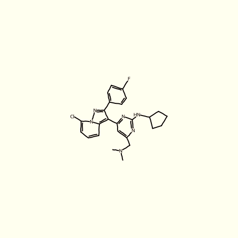 CN(C)Cc1cc(-c2c(-c3ccc(F)cc3)nn3c(Cl)cccc23)nc(NC2CCCC2)n1